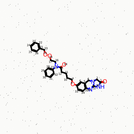 O=C1CN2Cc3cc(OCCCCC(=O)N(CCOOCc4ccccc4)c4ccccc4)ccc3N=C2N1